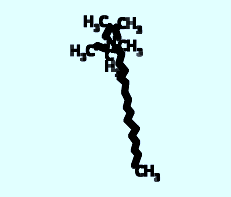 CCCCCCCCCCCCCCCCCC(C)(C)[N+](CCC)(CCC)CCC